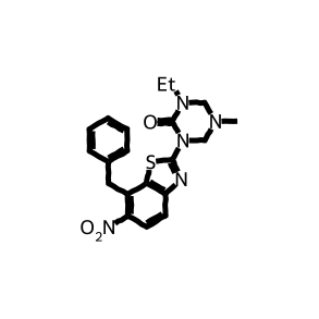 CCN1CN(C)CN(c2nc3ccc([N+](=O)[O-])c(Cc4ccccc4)c3s2)C1=O